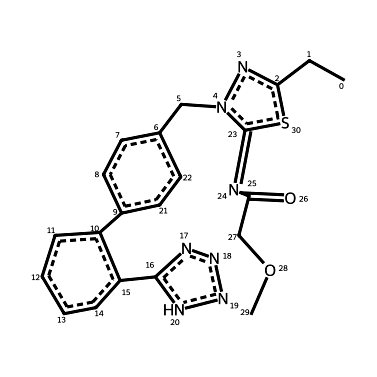 CCc1nn(Cc2ccc(-c3ccccc3-c3nnn[nH]3)cc2)c(=NC(=O)COC)s1